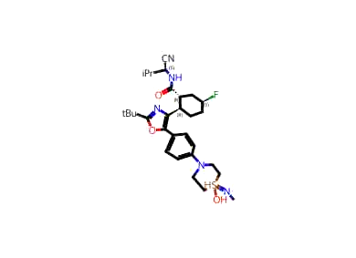 CN=[SH]1(O)CCN(c2ccc(-c3oc(C(C)(C)C)nc3[C@@H]3CC[C@H](F)C[C@H]3C(=O)N[C@H](C#N)C(C)C)cc2)CC1